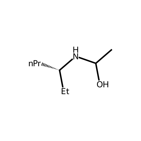 CCC[C@@H](CC)NC(C)O